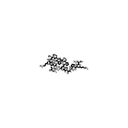 CC(C)C[C@H](NC(=O)[C@@H]1CCCN1C(=O)[C@@H](NC(=O)[C@@H]1CCCN1C(=O)[C@H](CCC(=O)O)NC(=O)[C@H](C)NC(=O)[C@H](C)NC(=O)[C@@H]1CCCN1C(=O)[C@H](CCCCN)NC(=O)[C@@H](N)C(C)C)C(C)C)C(=O)N[C@H](C(=O)N[C@@H](CCCCN)C(=O)N[C@@H](CCC(N)=O)C(=O)N[C@@H](CC(=O)O)C(=O)O)C(C)C